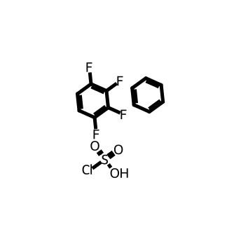 Fc1ccc(F)c(F)c1F.O=S(=O)(O)Cl.c1ccccc1